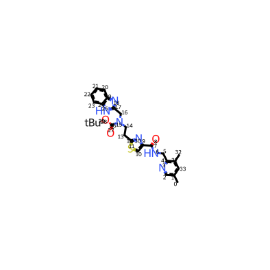 Cc1cnc(CNC(=O)c2csc(CCN(Cc3nc4ccccc4[nH]3)C(=O)OC(C)(C)C)n2)c(C)c1